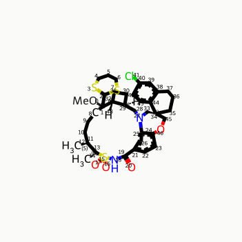 CO[C@]1(C2SCCCS2)CCC[C@H](C)[C@@H](C)S(=O)(=O)NC(=O)c2ccc3c(c2)N(C[C@@H]2CC[C@H]21)C[C@@]1(CCCc2cc(Cl)ccc21)CO3